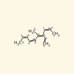 C=CC(/C=N\C)=C(C)\N=C/C=C\C